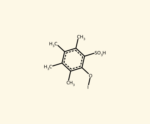 Cc1c(C)c(C)c(S(=O)(=O)O)c(OI)c1C